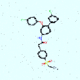 CCS(=O)(=O)c1ccc(CC(=O)Nc2ccc(-c3cccc(Cl)c3)c(Oc3ccc(Cl)cc3)c2)cc1